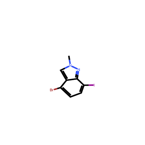 Cn1cc2c(Br)ccc(I)c2n1